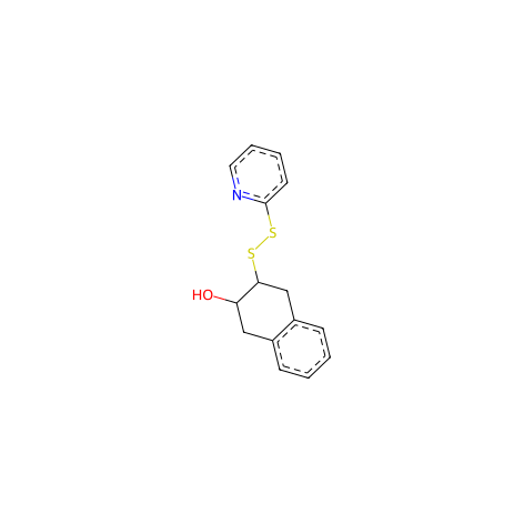 OC1Cc2ccccc2CC1SSc1ccccn1